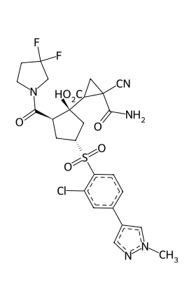 Cn1cc(-c2ccc(S(=O)(=O)[C@@H]3C[C@@H](C(=O)N4CCC(F)(F)C4)[C@](C(=O)O)(C4CC4(C#N)C(N)=O)C3)c(Cl)c2)cn1